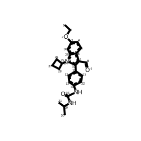 CCOc1ccc2c(C=O)c(-c3ccc(NC(=O)NC(C)C)cc3)n(C3CCC3)c2c1